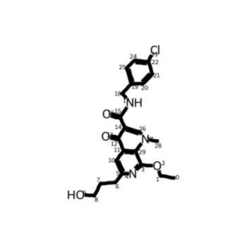 CCOc1nc(CCCO)cc2c(=O)c(C(=O)NCc3ccc(Cl)cc3)cn(C)c12